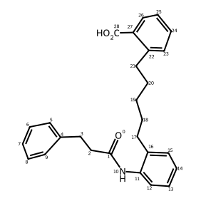 O=C(CCc1ccccc1)Nc1ccccc1CCCCCc1ccccc1C(=O)O